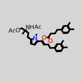 CC(=O)N[C@](C)(CCc1ccc(C(=CCCc2ccc(C)c(C)c2)OC(=O)CCCc2ccc(C)c(C)c2)n1C)COC(C)=O